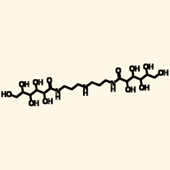 O=C(NCCCNCCCNC(=O)C(O)C(O)C(O)C(O)CO)C(O)C(O)C(O)C(O)CO